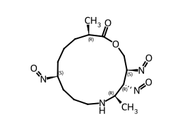 C[C@@H]1CCC[C@H](N=O)CCCN[C@H](C)[C@@H](N=O)[C@H](N=O)COC1=O